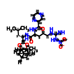 CC(C)C[C@H](NC(=O)[C@H](CCCNC(=N)N[N+](=O)[O-])NC(=O)c1cnccn1)B1O[C@@H]2C[C@@H]3C[C@@H](C3(C)C)[C@]2(C)O1